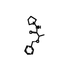 CC(OCc1ccccc1)C(=O)NN1CCCC1